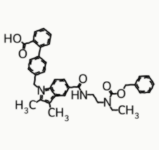 CCN(CCNC(=O)c1ccc2c(c1)c(C)c(C)n2Cc1ccc(-c2ccccc2C(=O)O)cc1)C(=O)OCc1ccccc1